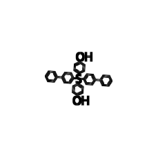 Oc1ccc(S(c2ccc(O)cc2)(c2ccc(-c3ccccc3)cc2)c2ccc(-c3ccccc3)cc2)cc1